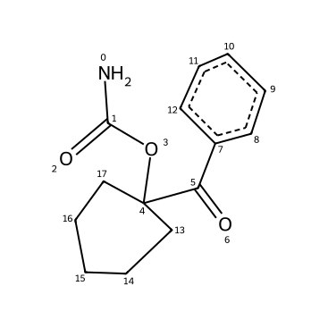 NC(=O)OC1(C(=O)c2ccccc2)CCCCC1